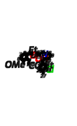 CCOC(=O)CCc1c(OC)cccc1[C@@H](CC)OC[C@H](O)CN1CCC[C@H]1Cc1ccc(C)c(Cl)c1